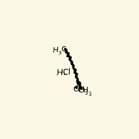 CCCCCCCCCCCCCCCCCCN(CC)CC.Cl